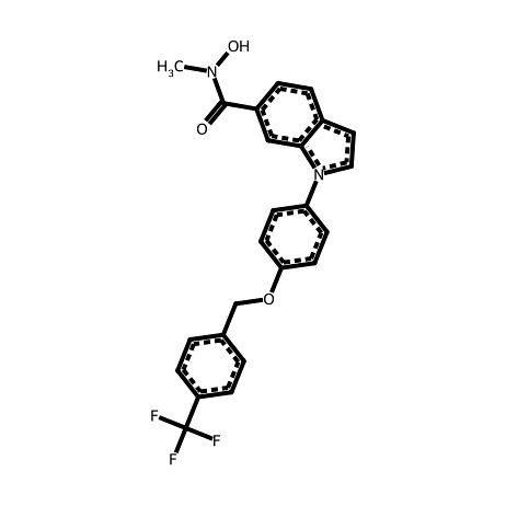 CN(O)C(=O)c1ccc2ccn(-c3ccc(OCc4ccc(C(F)(F)F)cc4)cc3)c2c1